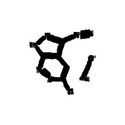 CC(=O)[O-].N#[N+]c1n[nH]c2nnc(Cl)cc12